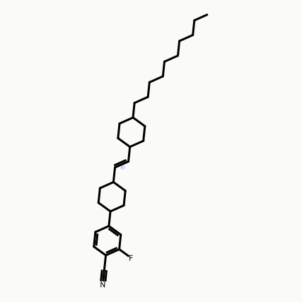 CCCCCCCCCCC1CCC(/C=C/C2CCC(c3ccc(C#N)c(F)c3)CC2)CC1